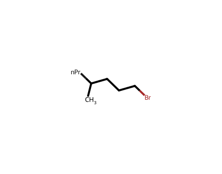 CCCC(C)CCCBr